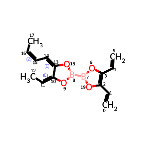 C=CC1=C(C=C)OB(B2OC(=C/C)/C(=C\C=C/C)O2)O1